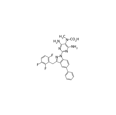 CN(C(=O)O)c1c(N)nc(-n2nc(Cc3c(F)ccc(F)c3F)c3cc(-c4ccccc4)ccc32)nc1N